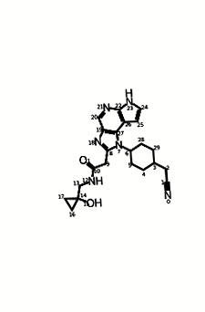 N#CCC1CCC(n2c(CC(=O)NCC3(O)CC3)nc3cnc4[nH]ccc4c32)CC1